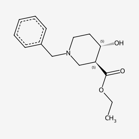 CCOC(=O)[C@H]1CN(Cc2ccccc2)CC[C@@H]1O